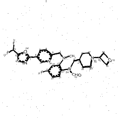 CN(Cc1ccc(-c2nnc(C(F)F)o2)cn1)c1cc(F)ccc1N(C=O)CC1CCN(C2COC2)CC1